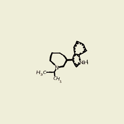 CC(C)N1CCCC(c2c[nH]c3ccccc23)C1